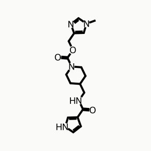 Cn1cnc(COC(=O)N2CCC(CNC(=O)c3cc[nH]c3)CC2)c1